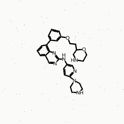 c1cc(OCCC2CNCCO2)cc(-c2cccc3cnc(Nc4ccc(N5CCNCC5)nc4)nc23)c1